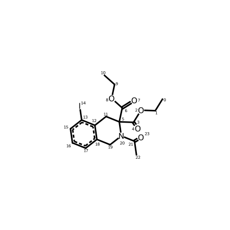 CCOC(=O)C1(C(=O)OCC)Cc2c(I)cccc2CN1C(C)=O